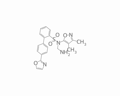 Cc1noc(N(CN)S(=O)(=O)c2ccccc2-c2ccc(-c3ncco3)cc2)c1C